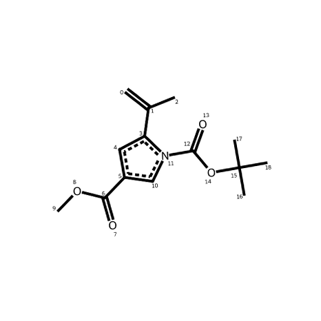 C=C(C)c1cc(C(=O)OC)cn1C(=O)OC(C)(C)C